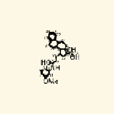 COc1ccnc(NC(O)CC[C@@H]2C/C(=N\O)[C@@]3(C)CCC4c5ccccc5CCC4C23)c1